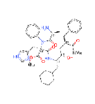 CNC(=O)[C@H](Cc1ccccc1)C[C@H](O)[C@H](CC1CCCCC1)NC(=O)[C@@](Cc1c[nH]cn1)(C(=O)OC(C)(C)C)N(C(=O)[C@H](C)N)c1ccccc1